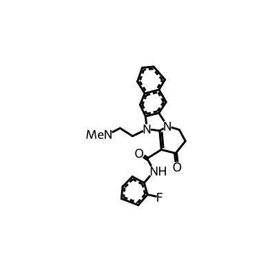 CNCCN1C2=C(C(=O)Nc3ccccc3F)C(=O)CCN2c2cc3ccccc3cc21